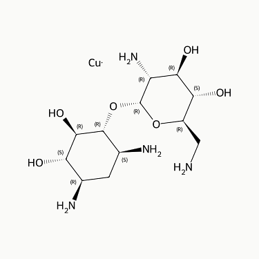 NC[C@H]1O[C@H](O[C@H]2[C@H](O)[C@@H](O)[C@H](N)C[C@@H]2N)[C@H](N)[C@@H](O)[C@@H]1O.[Cu]